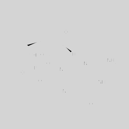 CC[C@@]12CCO[C@@H](C1OP(=O)(O)OC)[C@H](n1cnc3c(=O)[nH]c(N)nc31)O2